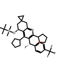 CC(C)(C)[Si](C)(C)O[C@H]1CC2(CC2)Cc2nc(C3CCCC3)c([C@@H](F)c3ccc(C(F)(F)F)cc3)c(C3CCCC3)c21